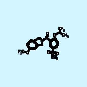 CC(Oc1ccc(S(C)(=O)=O)cc1C(=O)N1Cc2ccc(OC(F)(F)F)cc2C1)C(F)(F)F